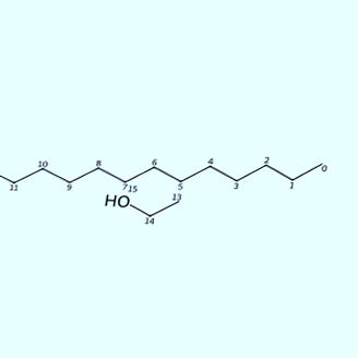 CCCCCCCCCCCCN.CCO